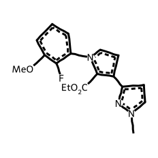 CCOC(=O)c1c(-c2ccn(C)n2)ccn1-c1cccc(OC)c1F